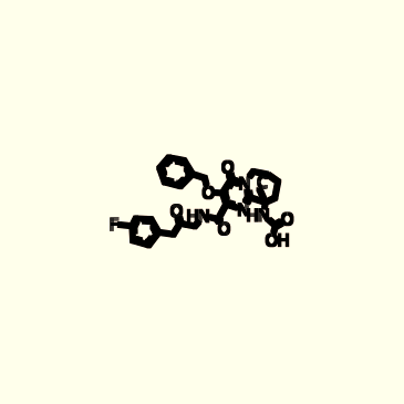 O=C(CNC(=O)c1nc2n(c(=O)c1OCc1ccccc1)CC1CCC2(NC(=O)O)CC1)Cc1ccc(F)cc1